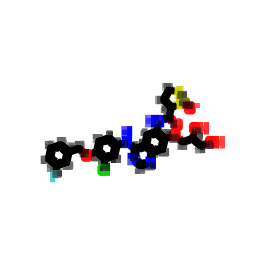 O=C(Nc1cc2c(Nc3ccc(OCc4cccc(F)c4)c(Cl)c3)ncnc2cc1OCC(O)CO)C1CCS[S+]1[O-]